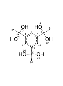 CC(O)(O)c1cc(C(C)(O)O)cc(C(C)(O)O)c1